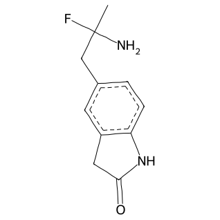 CC(N)(F)Cc1ccc2c(c1)CC(=O)N2